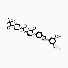 CC(C)(N)C(=O)N1CCN(C(=O)Nc2ccn(-c3ccc(CNC4CC(N)CC(O)C4)cc3)c(=O)n2)CC1